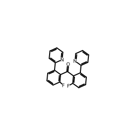 O=C(c1c(F)cccc1-c1ccccn1)c1c(F)cccc1-c1ccccn1